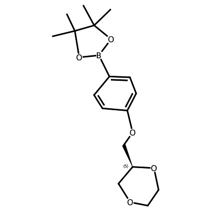 CC1(C)OB(c2ccc(OC[C@@H]3COCCO3)cc2)OC1(C)C